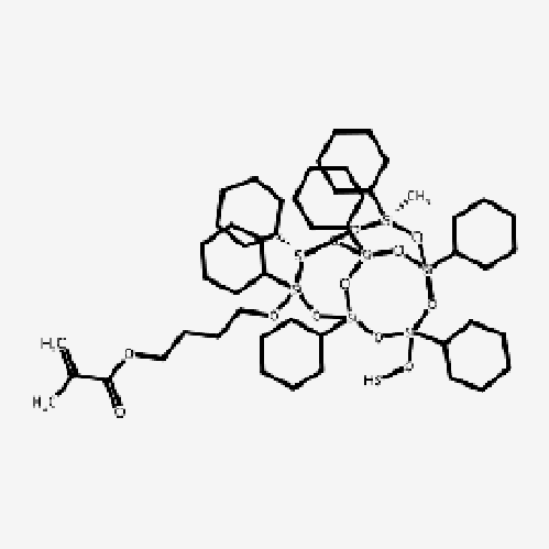 C=C(C)C(=O)OCCCCO[Si]1(C2CCCCC2)O[Si]2(C3CCCCC3)O[Si](OS)(C3CCCCC3)O[Si]3(C4CCCCC4)O[Si](C4CCCCC4)(O2)O[Si@]1(C1CCCCC1)O[Si@@](C)(C1CCCCC1)O3